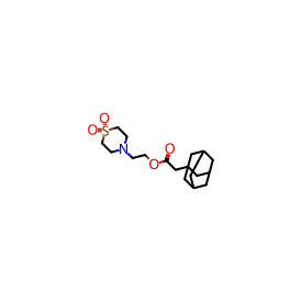 O=C(CC12CC3CC(CC(C3)C1)C2)OCCN1CCS(=O)(=O)CC1